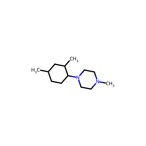 CC1[CH]C(C)C(N2CCN(C)CC2)CC1